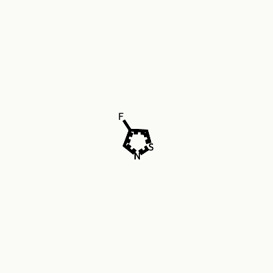 Fc1cnsc1